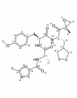 COc1ccc(C[C@H](NC(=O)[C@H](C)NC(=O)c2cnc(C)s2)C(=O)N[C@@H](CC2CCCC2)C(=O)[C@@]2(C)CO2)cc1